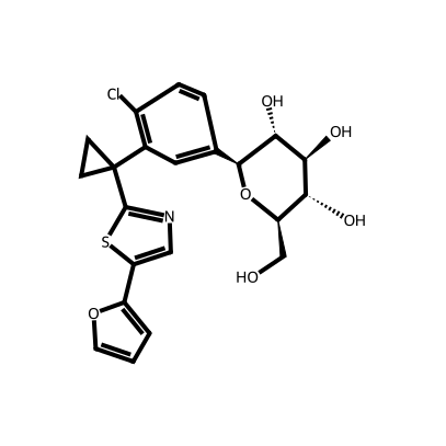 OC[C@H]1O[C@@H](c2ccc(Cl)c(C3(c4ncc(-c5ccco5)s4)CC3)c2)[C@H](O)[C@@H](O)[C@@H]1O